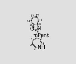 C1=CC=CNC=C1.CCCCCc1nc2ccccc2o1